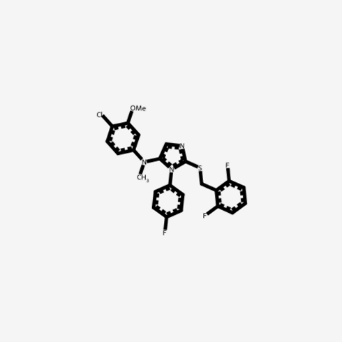 COc1cc(N(C)c2cnc(SCc3c(F)cccc3F)n2-c2ccc(F)cc2)ccc1Cl